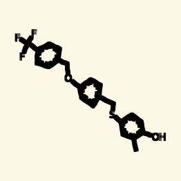 Cc1cc(SCc2ccc(OCc3ccc(C(F)(F)F)cc3)cc2)ccc1O